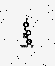 COc1cc(-c2onc3c2CCCN3Cc2ccc(F)cc2)ccc1Br